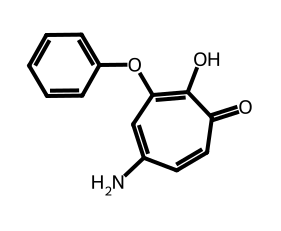 Nc1ccc(=O)c(O)c(Oc2ccccc2)c1